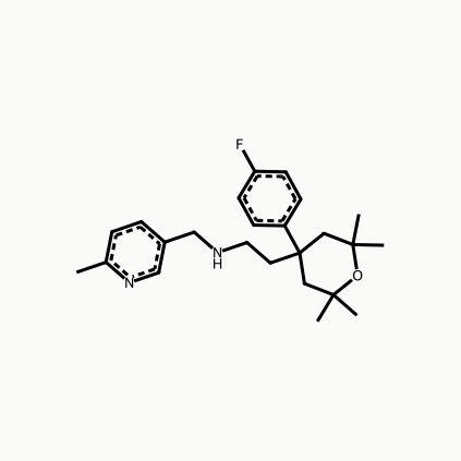 Cc1ccc(CNCCC2(c3ccc(F)cc3)CC(C)(C)OC(C)(C)C2)cn1